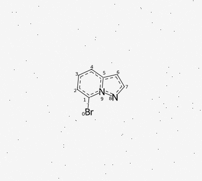 Brc1cccc2ccnn12